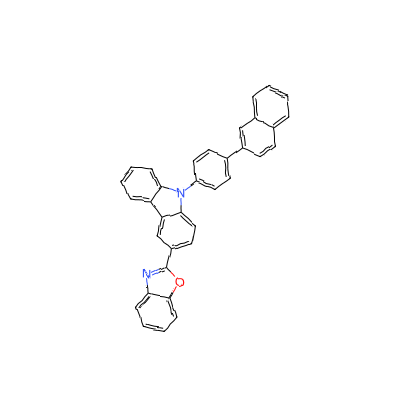 c1ccc2cc(-c3ccc(-n4c5ccccc5c5cc(-c6nc7ccccc7o6)ccc54)cc3)ccc2c1